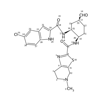 CN1CCc2nc(C(=O)N[C@@H]3CC[C@H](C=O)C[C@@H]3NC(=O)c3cc4cc(Cl)ccc4[nH]3)sc2C1